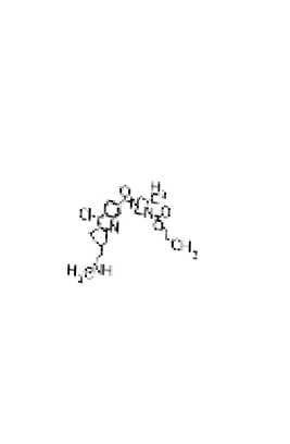 CCCOC(=O)N1CCN(C(=O)c2ccc3c(Cl)c4c(nc3c2)CC(CCNC)CC4)C[C@@H]1C